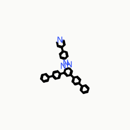 c1ccc(-c2ccc(-c3cc(-c4ccc(-c5ccccc5)cc4)c4nn(-c5ccc(-c6ccncc6)cc5)nc4c3)cc2)cc1